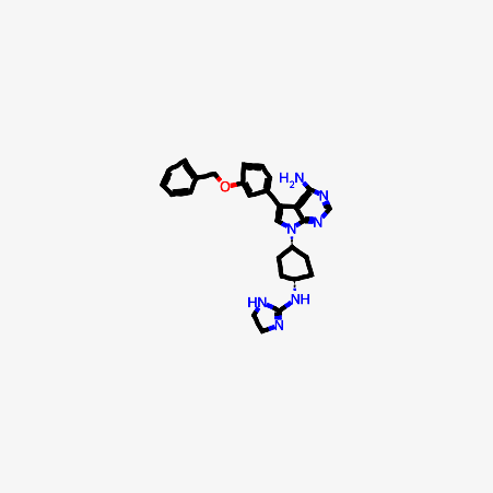 Nc1ncnc2c1c(-c1cccc(OCc3ccccc3)c1)cn2[C@H]1CC[C@@H](NC2=NCCN2)CC1